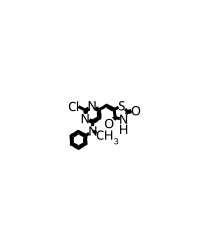 CN(c1ccccc1)c1cc(C=C2SC(=O)NC2=O)nc(Cl)n1